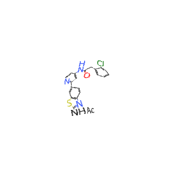 CC(=O)Nc1nc2ccc(-c3cc(NC(=O)Cc4ccccc4Cl)ccn3)cc2s1